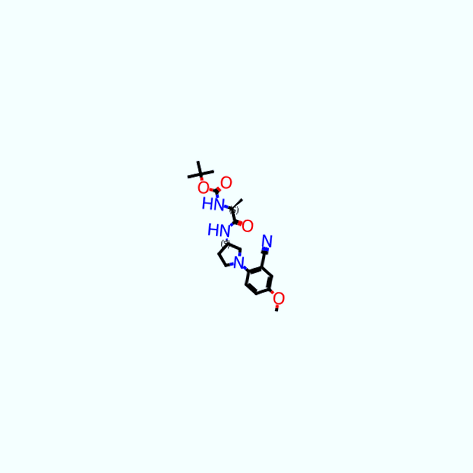 COc1ccc(N2CC[C@H](NC(=O)[C@H](C)NC(=O)OC(C)(C)C)C2)c(C#N)c1